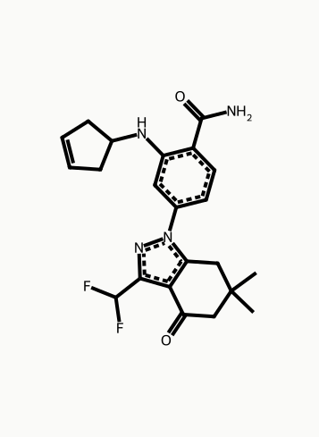 CC1(C)CC(=O)c2c(C(F)F)nn(-c3ccc(C(N)=O)c(NC4CC=CC4)c3)c2C1